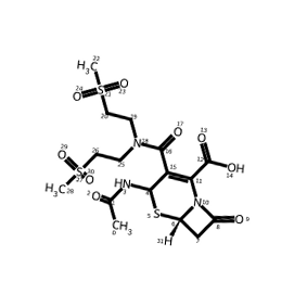 CC(=O)NC1S[C@H]2CC(=O)N2C(C(=O)O)=C1C(=O)N(CCS(C)(=O)=O)CCS(C)(=O)=O